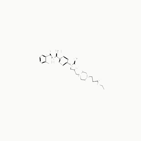 CCOC(=O)CCN1CCN(CC2CN(c3ccc(C(=N)NC(=O)c4ccccc4C)cc3)C(=O)O2)CC1